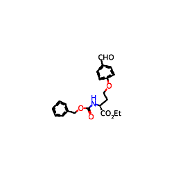 CCOC(=O)[C@H](CCOc1ccc(C=O)cc1)NC(=O)OCc1ccccc1